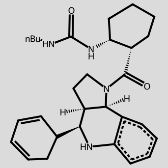 CCCCNC(=O)N[C@@H]1CCCC[C@@H]1C(=O)N1CC[C@@H]2[C@H](C3C=CC=CC3)Nc3ccccc3[C@@H]21